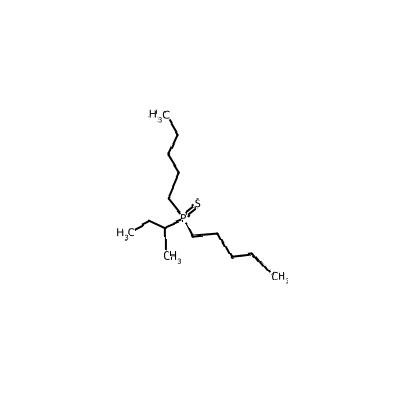 CCCCCP(=S)(CCCCC)C(C)CC